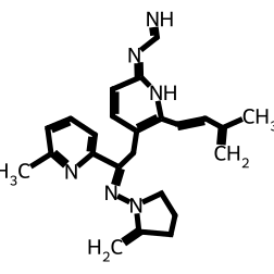 C=C(C)/C=C/c1[nH]/c(=N\C=N)ccc1C/C(=N\N1CCCC1=C)c1cccc(C)n1